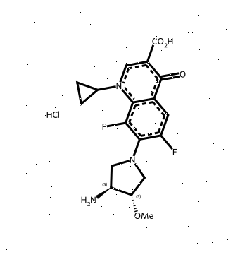 CO[C@H]1CN(c2c(F)cc3c(=O)c(C(=O)O)cn(C4CC4)c3c2F)C[C@@H]1N.Cl